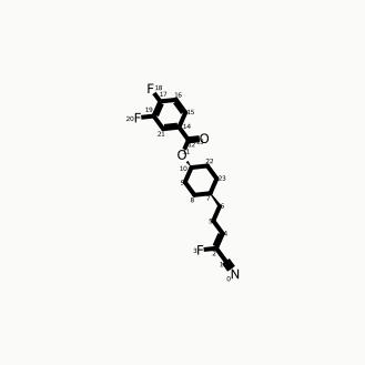 N#CC(F)=CCC[C@H]1CC[C@H](OC(=O)c2ccc(F)c(F)c2)CC1